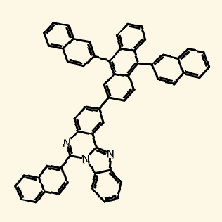 c1ccc2cc(-c3c4ccccc4c(-c4ccc5ccccc5c4)c4cc(-c5ccc6nc(-c7ccc8ccccc8c7)n7c8ccccc8nc7c6c5)ccc34)ccc2c1